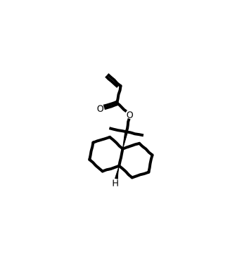 C=CC(=O)OC(C)(C)[C@]12CCCC[C@H]1CCCC2